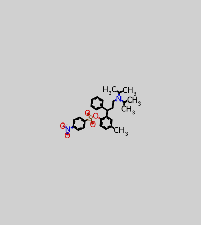 Cc1ccc(OS(=O)(=O)c2ccc([N+](=O)[O-])cc2)c(C(CCN(C(C)C)C(C)C)c2ccccc2)c1